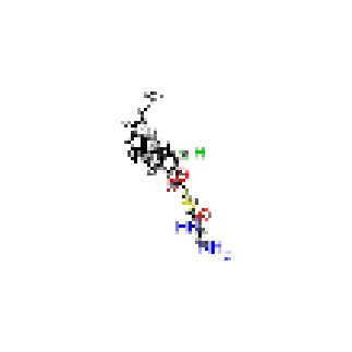 CC(C)CCCC(C)[C@H]1CC[C@H]2[C@@H]3CC=C4C[C@@H](OC(=O)CSSCC(=O)NCCN)CC[C@]4(C)[C@H]3CC[C@]12C.Cl